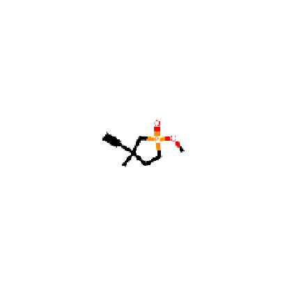 C#CC1(C)CCP(=O)(OC)C1